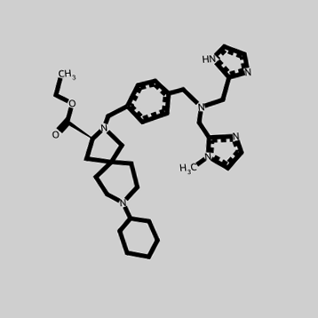 CCOC(=O)[C@@H]1CC2(CCN(C3CCCCC3)CC2)CN1Cc1ccc(CN(Cc2ncc[nH]2)Cc2nccn2C)cc1